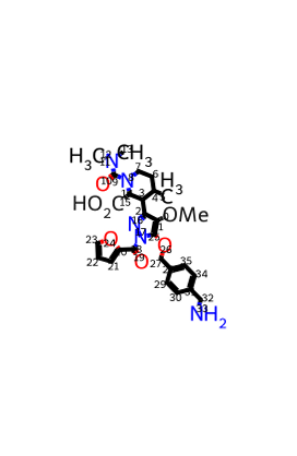 COc1c(C2C(C)CCN(C(=O)N(C)C)C2C(=O)O)nn(C(=O)c2ccco2)c1OCc1ccc(CN)cc1